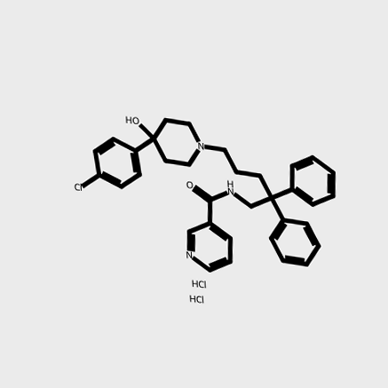 Cl.Cl.O=C(NCC(CCCN1CCC(O)(c2ccc(Cl)cc2)CC1)(c1ccccc1)c1ccccc1)c1cccnc1